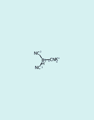 N#C[BH-](C#N)C#N.[K+]